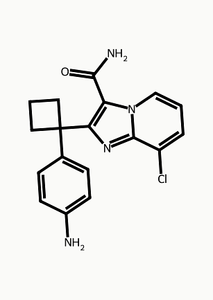 NC(=O)c1c(C2(c3ccc(N)cc3)CCC2)nc2c(Cl)cccn12